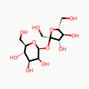 OC[C@H]1O[C@](CO)(O[C@@H]2O[C@H](CO)[C@@H](O)[C@H](O)[C@@H]2O)[C@@H](O)[C@@H]1O